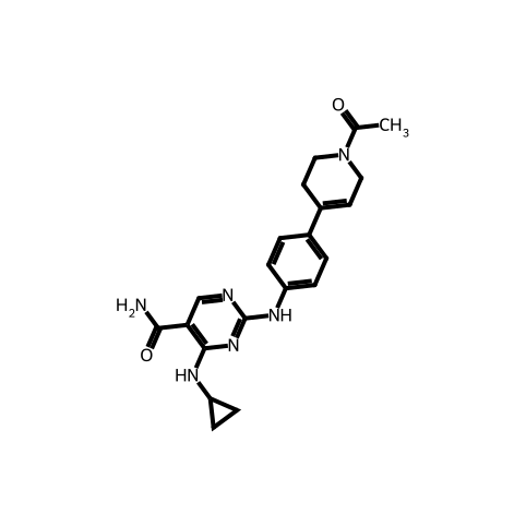 CC(=O)N1CC=C(c2ccc(Nc3ncc(C(N)=O)c(NC4CC4)n3)cc2)CC1